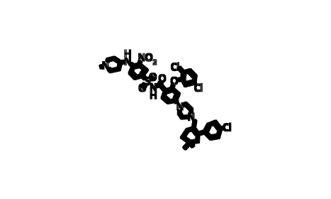 CN1CCC(Nc2ccc(S(=O)(=O)NC(=O)c3ccc(N4CCN(CC5=C(c6ccc(Cl)cc6)CC(C)(C)CC5)CC4)cc3Oc3cc(Cl)ccc3Cl)cc2[N+](=O)[O-])CC1